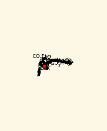 CC#CCOc1ccc(C[C@H](NC(=O)[C@@H](/C=C/CCCCCCC2(CCCCCCC)OCCO2)[C@@](O)(CCO[Si](C)(C)C(C)(C)C)C(=O)O)C(=O)OCC)cc1